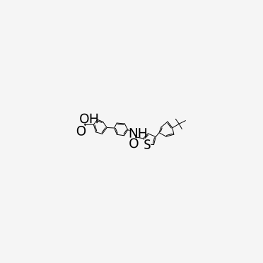 CC(C)(C)c1ccc(-c2csc(C(=O)Nc3ccc(-c4ccc(C(=O)O)cc4)cc3)c2)cc1